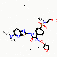 CN(C)c1ccc2nc(NC(=O)/C(=N/O[C@@H]3CCOC3)c3ccc(S(=O)(=O)N(C)CCO)cc3)sc2n1